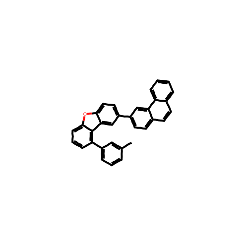 Cc1cccc(-c2cccc3oc4ccc(-c5ccc6ccc7ccccc7c6c5)cc4c23)c1